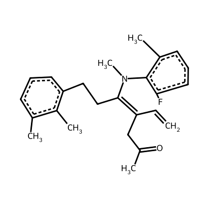 C=C/C(CC(C)=O)=C(/CCc1cccc(C)c1C)N(C)c1c(C)cccc1F